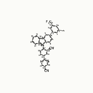 Cc1cc(-c2ccc3c(c2)c2ccccc2n3-c2ccc(-c3ncc(C#N)cn3)cc2C#N)cc(C(F)(F)F)c1